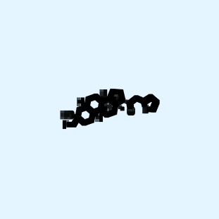 C[C@]12CC[C@H]3[C@@H](CC[C@H]4C[C@@](O)(CF)CC[C@@H]43)[C@@H]1CC[C@@H]2C(=O)Cc1cccs1